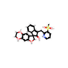 CS(=O)(=O)c1cccnc1CC1=C2C=CC=CC2C2(COc3cc4c(cc32)OCCO4)C1=O